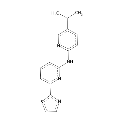 CC(C)c1ccc(Nc2cccc(-c3nccs3)n2)nc1